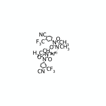 CC1(C)C(=O)N(c2ccc(C#N)c(C(F)(F)F)c2)C(=O)N1C[C@@H]1C[C@H]1CN1C(=O)N(c2ccc(C#N)c(C(F)(F)F)c2)C(=O)C1(C)C